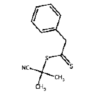 CC(C)(C#N)SC(=S)Cc1ccccc1